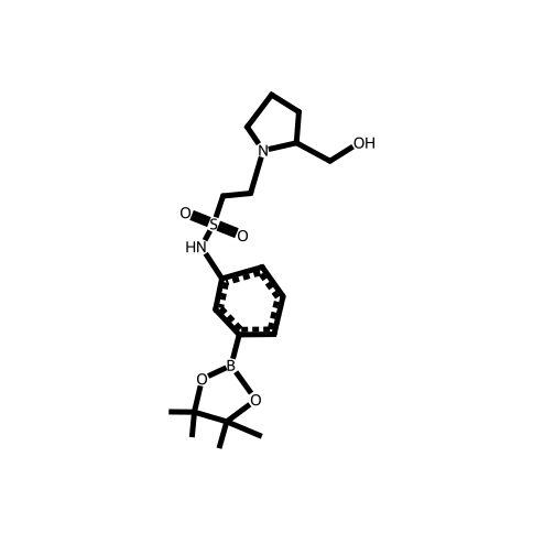 CC1(C)OB(c2cccc(NS(=O)(=O)CCN3CCCC3CO)c2)OC1(C)C